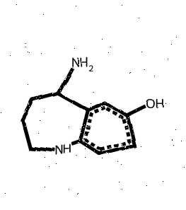 NC1CCCNc2ccc(O)cc21